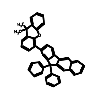 CC1(C)c2ccccc2Oc2c(-c3ccc4c(c3)C(c3ccccc3)(c3ccccc3)c3cc5ccccc5cc3-4)cccc21